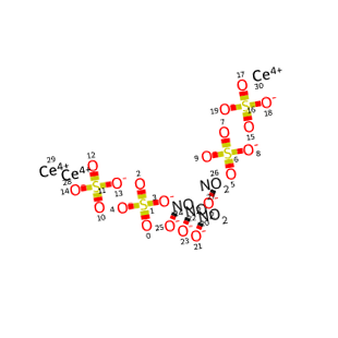 O=S(=O)([O-])[O-].O=S(=O)([O-])[O-].O=S(=O)([O-])[O-].O=S(=O)([O-])[O-].O=[N+]([O-])[O-].O=[N+]([O-])[O-].O=[N+]([O-])[O-].O=[N+]([O-])[O-].[Ce+4].[Ce+4].[Ce+4]